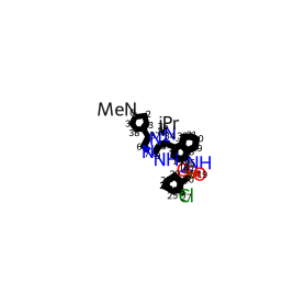 CNC1CC=C(c2cnc(N)c3c(-c4ccc(NS(=O)(=O)Cc5ccccc5Cl)c5ccccc45)nc(C(C)C)n23)CC1